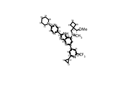 COCC1(CN(C)c2cc(-c3cc(C4CC4)nc(C(F)(F)F)c3)nc3nc(-c4cnc(N5CCCCC5)cn4)[nH]c23)CCC1